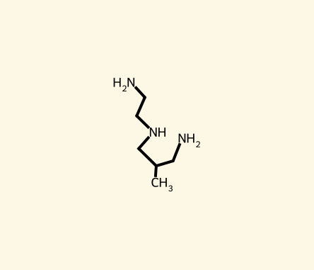 CC(CN)CNCCN